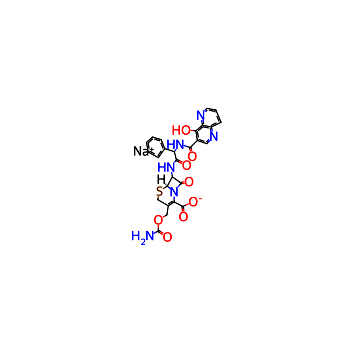 NC(=O)OCC1=C(C(=O)[O-])N2C(=O)C(NC(=O)C(NC(=O)c3cnc4cccnc4c3O)c3ccccc3)[C@@H]2SC1.[Na+]